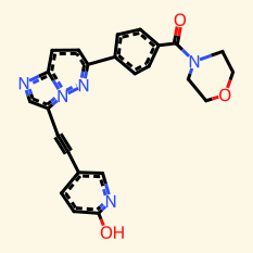 O=C(c1ccc(-c2ccc3ncc(C#Cc4ccc(O)nc4)n3n2)cc1)N1CCOCC1